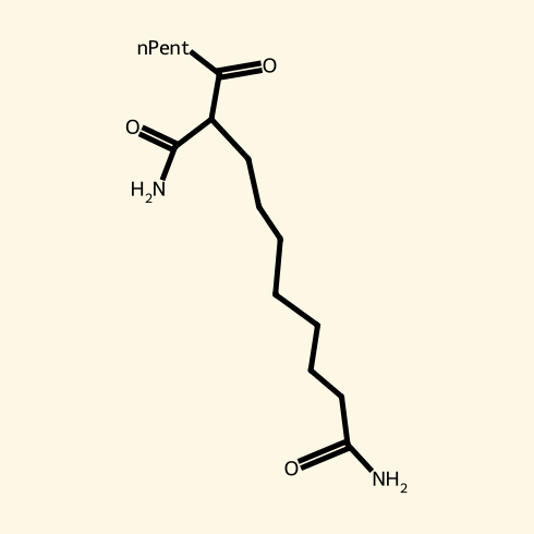 CCCCCC(=O)C(CCCCCCCC(N)=O)C(N)=O